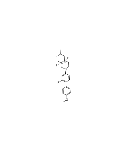 COc1ccc(-c2ccc([C@@H]3CC[C@@H]4CC(C)CC[C@@H]4C3)cc2F)cc1